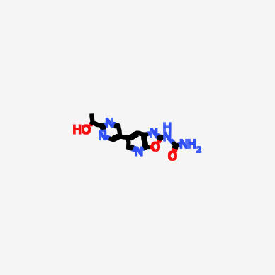 CC(O)c1ncc(-c2cnc3oc(NC(N)=O)nc3c2)cn1